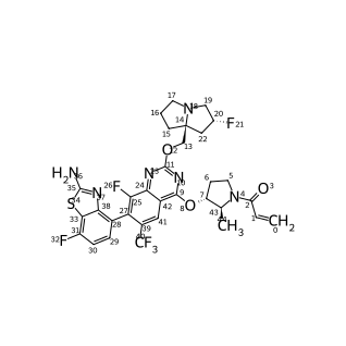 C=CC(=O)N1CC[C@@H](Oc2nc(OC[C@@]34CCCN3C[C@H](F)C4)nc3c(F)c(-c4ccc(F)c5sc(N)nc45)c(C(F)(F)F)cc23)[C@@H]1C